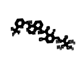 CC(C)(C)C(=O)NCc1ccc(Cl)c(C(=O)Nc2cccc3c(Nc4cccc(C(F)(F)F)n4)ncnc23)c1F